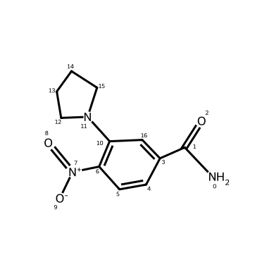 NC(=O)c1ccc([N+](=O)[O-])c(N2CCCC2)c1